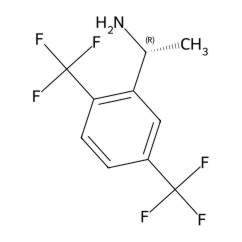 C[C@@H](N)c1cc(C(F)(F)F)ccc1C(F)(F)F